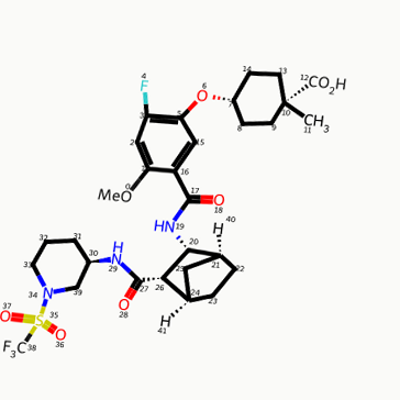 COc1cc(F)c(O[C@H]2CC[C@@](C)(C(=O)O)CC2)cc1C(=O)N[C@@H]1[C@H]2CC[C@H](C2)[C@@H]1C(=O)N[C@@H]1CCCN(S(=O)(=O)C(F)(F)F)C1